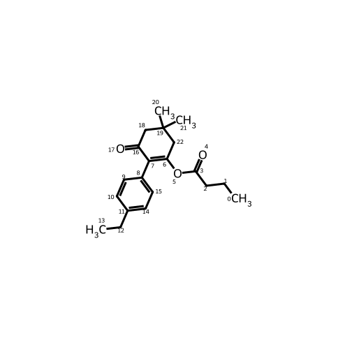 CCCC(=O)OC1=C(c2ccc(CC)cc2)C(=O)CC(C)(C)C1